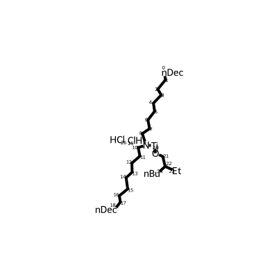 CCCCCCCCCCCCCCCCCC[N](CCCCCCCCCCCCCCCCCC)[Ti][O]CC(CC)CCCC.Cl.Cl